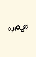 O=[N+]([O-])c1cccc(C2CCC2n2ccnn2)c1